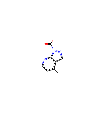 Cc1ccnc2c1cnn2C(=O)O